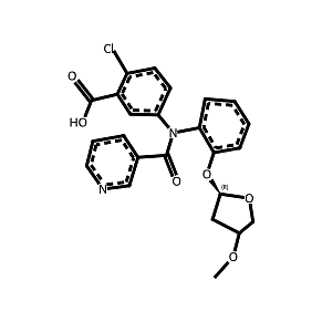 COC1CO[C@H](Oc2ccccc2N(C(=O)c2cccnc2)c2ccc(Cl)c(C(=O)O)c2)C1